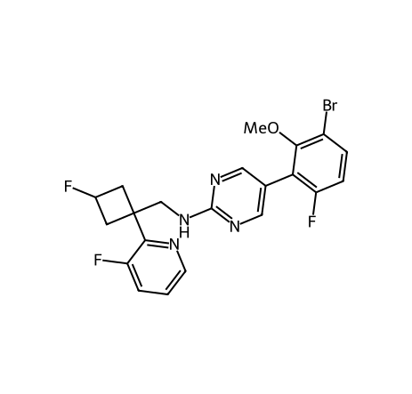 COc1c(Br)ccc(F)c1-c1cnc(NCC2(c3ncccc3F)CC(F)C2)nc1